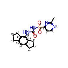 Cc1nccc(S(=O)(=O)NC(=O)Nc2c3c(cc4c2CCC4)CCC3)n1